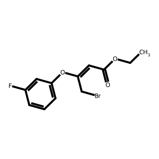 CCOC(=O)/C=C(\CBr)Oc1cccc(F)c1